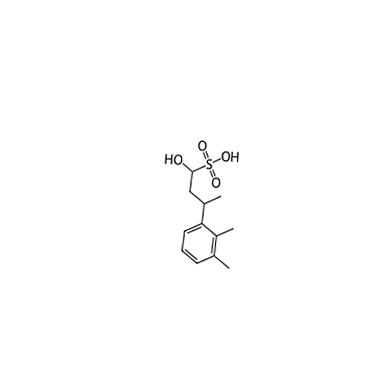 Cc1cccc(C(C)CC(O)S(=O)(=O)O)c1C